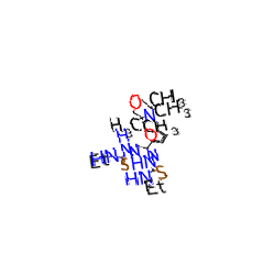 CCNC(=S)N/N=C/C(=N\NC(=S)NCC)c1ccc(CN2C(C)(C)COCC2(C)C)o1